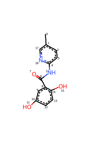 Cc1ccc(NC(=O)c2cc(O)ccc2O)nc1